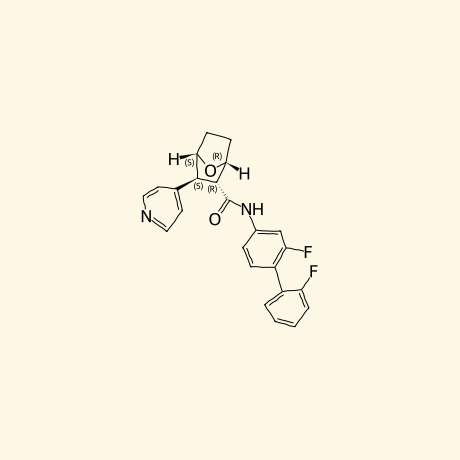 O=C(Nc1ccc(-c2ccccc2F)c(F)c1)[C@@H]1[C@@H](c2ccncc2)[C@@H]2CC[C@H]1O2